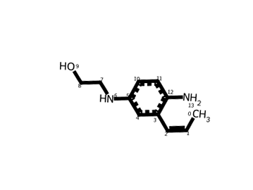 C/C=C\c1cc(NCCO)ccc1N